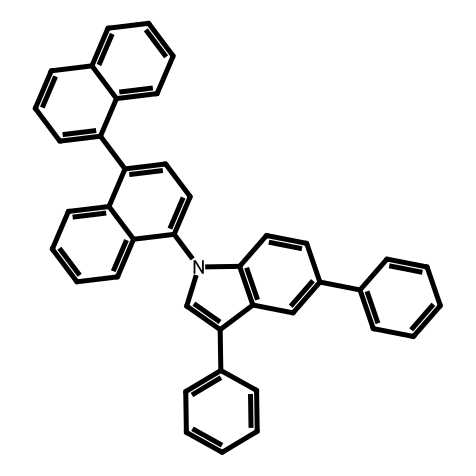 c1ccc(-c2ccc3c(c2)c(-c2ccccc2)cn3-c2ccc(-c3cccc4ccccc34)c3ccccc23)cc1